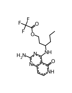 CCCC(CCOC(=O)C(F)(F)F)Nc1nc(N)nc2cc[nH]c(=O)c12